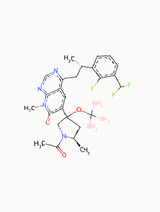 BC(B)(B)OC1(c2cc3c(C[C@H](C)c4cccc(C(F)F)c4F)ncnc3n(C)c2=O)C[C@@H](C)N(C(C)=O)C1